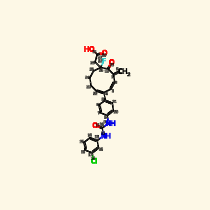 C=C1/C=C\C(c2ccc(NC(=O)Nc3cccc(Cl)c3)cc2)=C/CCCC(F)(CC(=O)O)C1=O